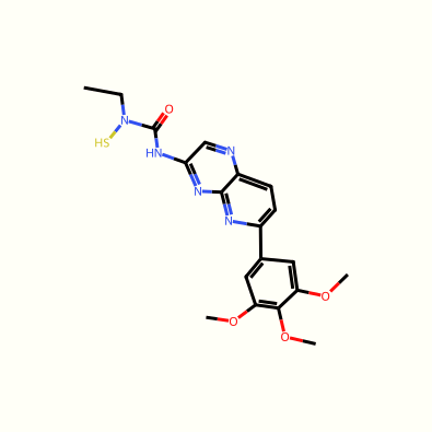 CCN(S)C(=O)Nc1cnc2ccc(-c3cc(OC)c(OC)c(OC)c3)nc2n1